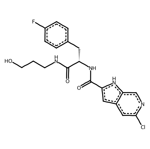 O=C(N[C@@H](Cc1ccc(F)cc1)C(=O)NCCCO)c1cc2cc(Cl)ncc2[nH]1